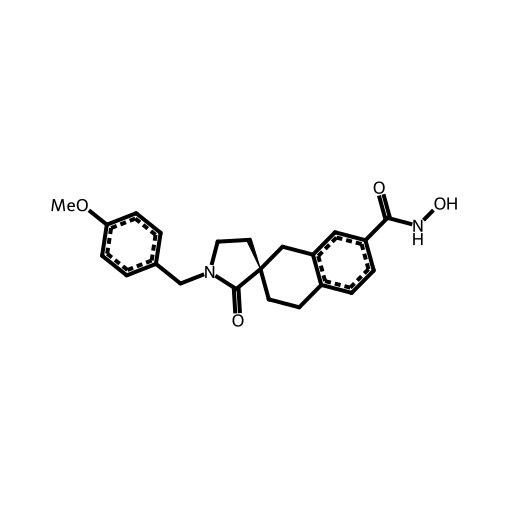 COc1ccc(CN2CC[C@@]3(CCc4ccc(C(=O)NO)cc4C3)C2=O)cc1